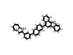 C1=CC2NC(c3cccc(-c4ccc5cc(-c6cc7c8ccccc8oc7c7ccccc67)ccc5c4)c3)=CN2C=C1